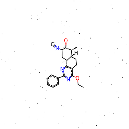 [C-]#[N+]C1C[C@]2(C)c3nc(-c4ccccc4)nc(OCC)c3CC[C@H]2[C@H](C)C1=O